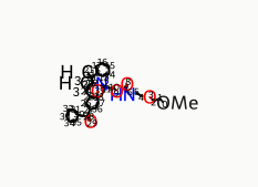 COCCOCCNC(=O)OCCN1c2ccccc2C(C)(C)C12C=Cc1cc(C(=O)c3ccccc3)ccc1O2